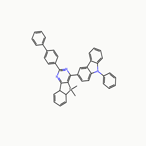 C[Si]1(C)c2c(-c3ccc4c(c3)c3ccccc3n4-c3ccccc3)nc(-c3ccc(-c4ccccc4)cc3)nc2C2C=CC=CC21